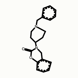 O=C1Oc2ccccc2CN1C1CCN(Cc2ccccc2)CC1